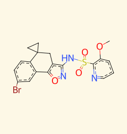 COc1cccnc1S(=O)(=O)Nc1noc2c1CC1(CC1)c1ccc(Br)cc1-2